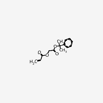 C=CC(=O)OCC(=O)OC(C)(C)c1ccccc1